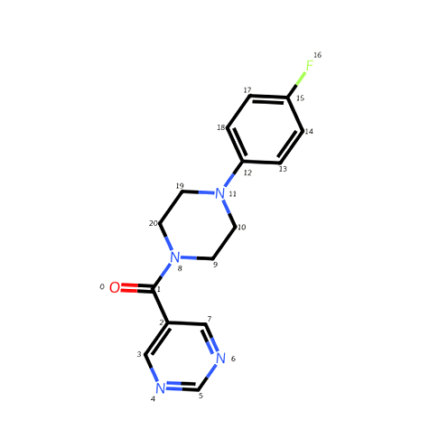 O=C(c1cncnc1)N1CCN(c2ccc(F)cc2)CC1